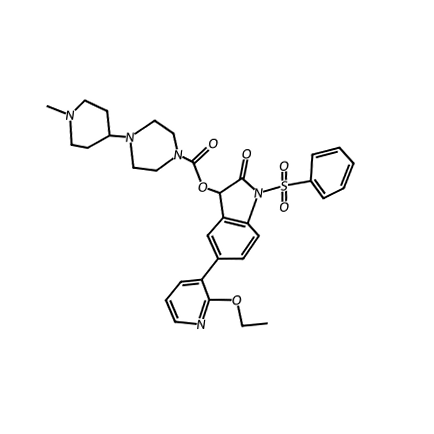 CCOc1ncccc1-c1ccc2c(c1)C(OC(=O)N1CCN(C3CCN(C)CC3)CC1)C(=O)N2S(=O)(=O)c1ccccc1